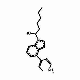 C/C=C(\N=C/N)c1cccc2c1ccn2C(O)CCCCC